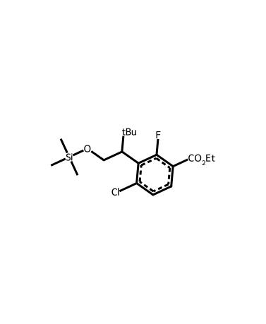 CCOC(=O)c1ccc(Cl)c(C(CO[Si](C)(C)C)C(C)(C)C)c1F